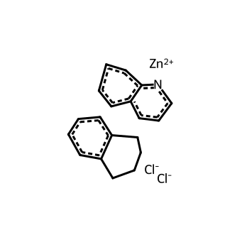 [Cl-].[Cl-].[Zn+2].c1ccc2c(c1)CCCC2.c1ccc2ncccc2c1